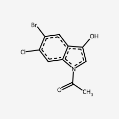 CC(=O)n1cc(O)c2cc(Br)c(Cl)cc21